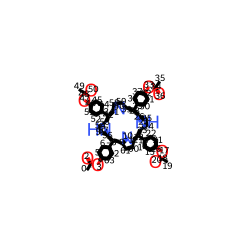 CC(=O)Oc1ccc(-c2c3nc(c(-c4ccc(OC(C)=O)cc4)c4ccc([nH]4)c(-c4ccc(OC(C)=O)cc4)c4nc(c(-c5ccc(OC(C)=O)cc5)c5ccc2[nH]5)C=C4)C=C3)cc1